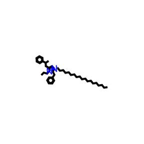 CCCCCCCCCCCCCCCCCCCn1cc(CC(C)c2ccccc2)[n+](CCC)c1Cc1ccccc1